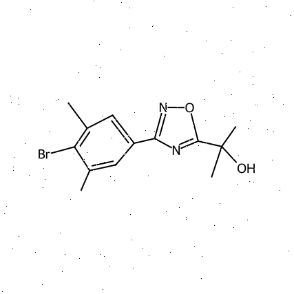 Cc1cc(-c2noc(C(C)(C)O)n2)cc(C)c1Br